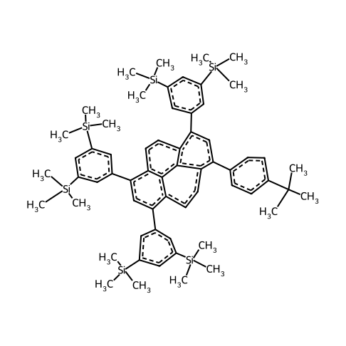 CC(C)(C)c1ccc(-c2cc(-c3cc([Si](C)(C)C)cc([Si](C)(C)C)c3)c3ccc4c(-c5cc([Si](C)(C)C)cc([Si](C)(C)C)c5)cc(-c5cc([Si](C)(C)C)cc([Si](C)(C)C)c5)c5ccc2c3c54)cc1